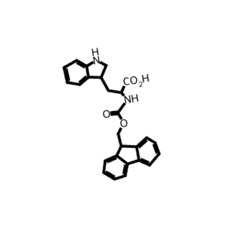 O=C(NC(CC1CNc2ccccc21)C(=O)O)OCC1c2ccccc2-c2ccccc21